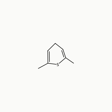 CC1=CCC=C(C)S1